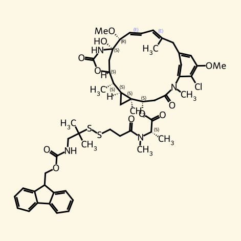 COc1cc2cc(c1Cl)N(C)C(=O)C[C@H](OC(=O)[C@H](C)N(C)C(=O)CCSSC(C)(C)CNC(=O)OCC1c3ccccc3-c3ccccc31)[C@@]1(C)C[C@H]1[C@H](C)[C@@H]1C[C@@](O)(NC(=O)O1)[C@H](OC)/C=C/C=C(\C)C2